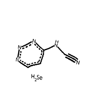 N#CNc1ccnnn1.[SeH2]